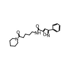 O=C(NCCCCC(=O)N1CCCCC1)c1cc(-c2ccccc2)no1